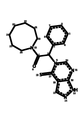 O=C(C(c1ccccc1)n1cnc2[nH]ncc2c1=S)N1CCCCCCC1